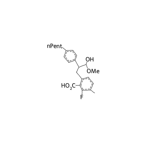 CCCCCc1ccc(C(Cc2ccc(C)c(F)c2C(=O)O)C(O)OC)cc1